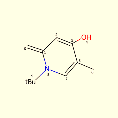 C=C1C=C(O)C(C)=CN1C(C)(C)C